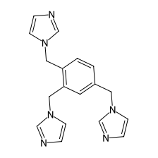 c1cn(Cc2ccc(Cn3ccnc3)c(Cn3ccnc3)c2)cn1